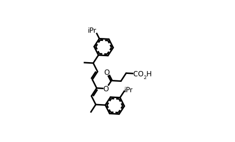 CC(C)c1cccc(C(C)C=CC(=CC(C)c2cccc(C(C)C)c2)OC(=O)CCC(=O)O)c1